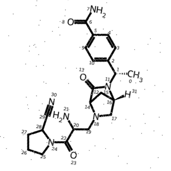 C[C@@H](c1ccc(C(N)=O)cc1)N1C(=O)C2C[C@H]1CN2CC(N)C(=O)N1CCCC1C#N